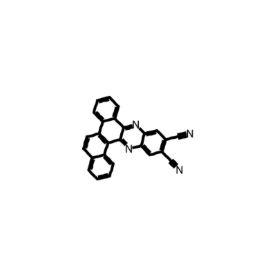 N#Cc1cc2nc3c4ccccc4c4ccc5ccccc5c4c3nc2cc1C#N